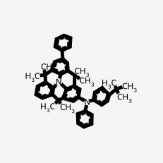 CC(C)(C)c1ccc(N(c2ccccc2)c2cc3c4c(c2)C(C)(C)c2cc(-c5ccccc5)cc5c2N4c2c(cccc2C3(C)C)C5(C)C)cc1